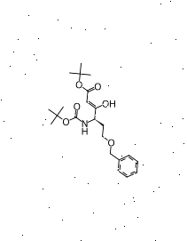 CC(C)(C)OC(=O)/C=C(\O)[C@@H](CCOCc1ccccc1)NC(=O)OC(C)(C)C